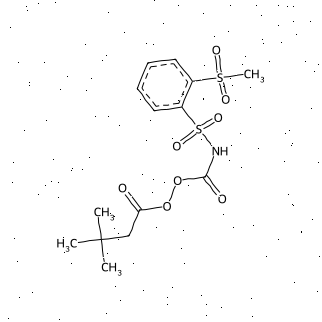 CC(C)(C)CC(=O)OOC(=O)NS(=O)(=O)c1ccccc1S(C)(=O)=O